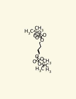 C[Si](C)(C)OS(=O)(=O)OC=CCCOS(=O)(=O)O[Si](C)(C)C